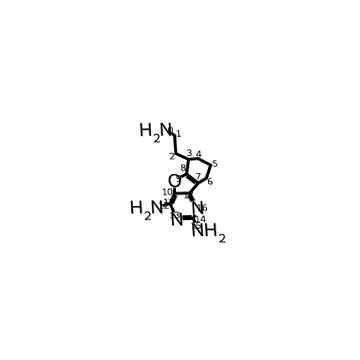 NCCC1CCCc2c1oc1c(N)nc(N)nc21